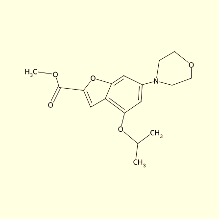 COC(=O)c1cc2c(OC(C)C)cc(N3CCOCC3)cc2o1